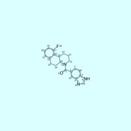 O=C(c1ccc2[nH]cnc2c1)N1CCCC2c3c(F)cccc3CCC21